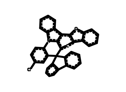 Clc1ccc2c(c1)C1(c3ccccc3-c3ccccc31)c1cc3c4ccccc4oc3c3c4ccccc4n-2c13